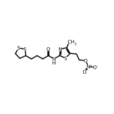 Cc1nc(NC(=O)CCCC2CCSS2)sc1CCO[N+](=O)[O-]